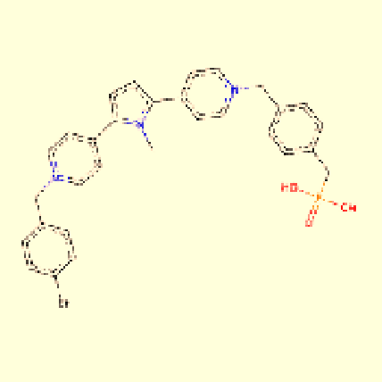 CCc1ccc(C[n+]2ccc(-c3ccc(-c4cc[n+](Cc5ccc(CP(=O)(O)O)cc5)cc4)n3C)cc2)cc1